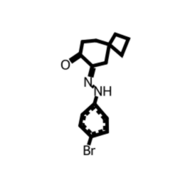 O=C1CCC2(CCC2)C/C1=N\Nc1ccc(Br)cc1